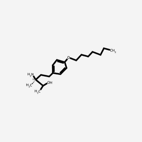 CCCCCCCOc1ccc(CC[C@](C)(N)C(C)O)cc1